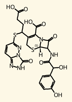 O=C(O)CCC(Sc1ccc2n[nH]c(=O)n2n1)C1=C(C(=O)O)N2C(=O)C(NC(=O)C(O)c3cccc(O)c3)[C@@H]2SC1